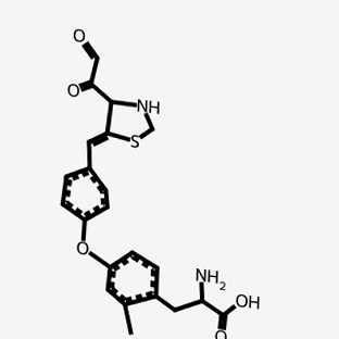 Cc1cc(Oc2ccc(C=C3SCNC3C(=O)C=O)cc2)ccc1CC(N)C(=O)O